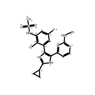 CC(C)Nc1nccc(-c2[nH]c(C3CC3)nc2-c2cc(F)cc(NS(C)(=O)=O)c2Cl)n1